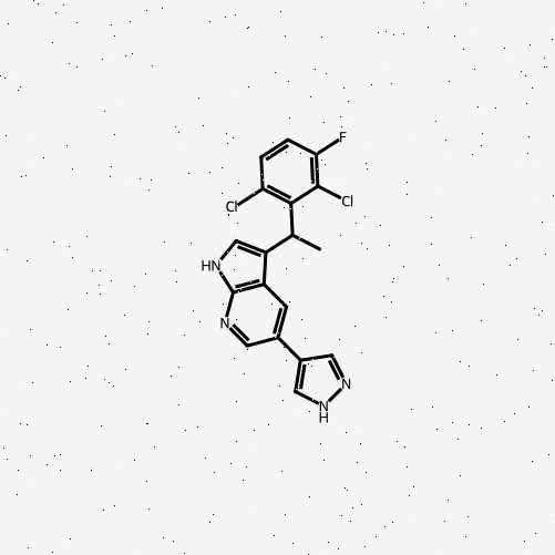 CC(c1c(Cl)ccc(F)c1Cl)c1c[nH]c2ncc(-c3cn[nH]c3)cc12